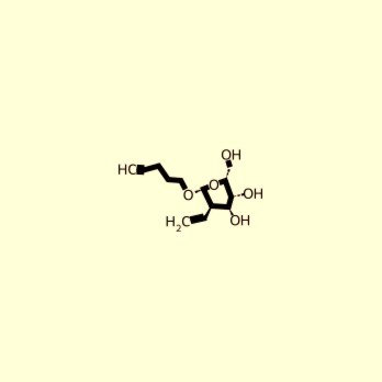 C#CCCCO[C@@H]1O[C@H](CO)[C@H](O)[C@H](O)[C@H]1C=C